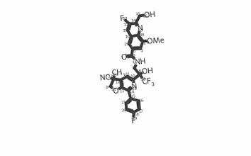 COc1cc(C(=O)NCC(O)(c2cc3c(c(-c4ccc(F)cc4)n2)OCC3(C)C#N)C(F)(F)F)cc2cc(F)c(CO)nc12